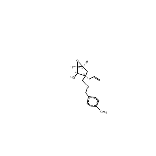 C=CC[C@@]1(COCc2ccc(OC)cc2)C[C@@H]2O[C@@H]2[C@@H]1O